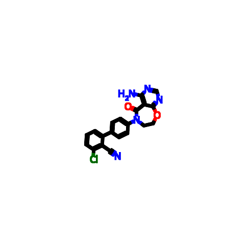 N#Cc1c(Cl)cccc1-c1ccc(N2CCOc3ncnc(N)c3C2=O)cc1